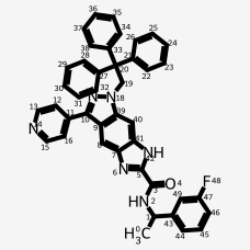 CC(NC(=O)c1nc2cc3c(-c4ccncc4)nn(CC(c4ccccc4)(c4ccccc4)c4ccccc4)c3cc2[nH]1)c1cccc(F)c1